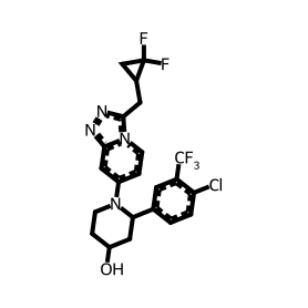 OC1CCN(c2ccn3c(CC4CC4(F)F)nnc3c2)C(c2ccc(Cl)c(C(F)(F)F)c2)C1